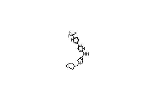 FC(F)(F)c1ccc(-c2ccc(NC3C4CN(CC5CCOCC5)CC43)nn2)cn1